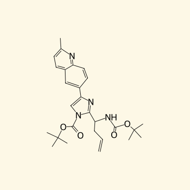 C=CCC(NC(=O)OC(C)(C)C)c1nc(-c2ccc3nc(C)ccc3c2)cn1C(=O)OC(C)(C)C